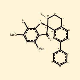 COc1cc(OC)c2c(c1Cl)O[C@]1(C2=O)c2nc(-c3ccccc3)ccc2CC[C@H]1C